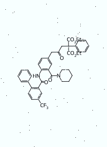 CCOC(=O)C(CC(=O)Cc1ccc(NC(=O)c2cc(C(F)(F)F)ccc2-c2ccccc2)c(C(=O)N2CCCCC2)c1)(C(=O)OCC)c1ccccc1